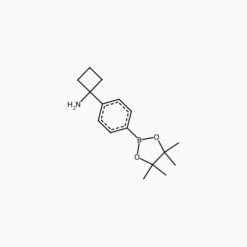 CC1(C)OB(c2ccc(C3(N)CCC3)cc2)OC1(C)C